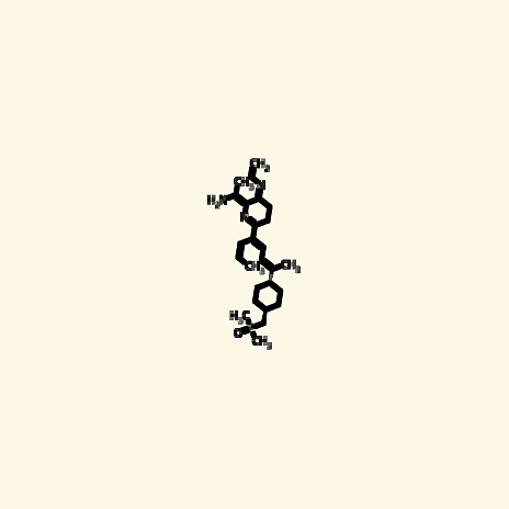 C=C/N=C1/CCC(C(/C=C\C)=C/C=C(\C)[C@H]2CC[C@H](CP(C)(C)=O)CC2)=N/C1=C(/C)N